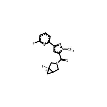 Cn1nc(-c2cccc(F)n2)cc1C(=O)N1CC2C[C@H]2C1